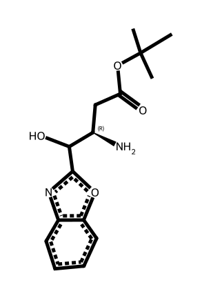 CC(C)(C)OC(=O)C[C@@H](N)C(O)c1nc2ccccc2o1